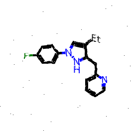 CCC1=CN(c2ccc(F)cc2)NC1Cc1ccccn1